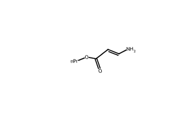 CCCOC(=O)/C=C/N